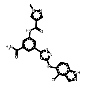 Cn1cc(C(=O)Nc2cc(C(N)=O)cc(-c3nnc(Nc4ccc5[nH]ncc5c4Cl)s3)c2)cn1